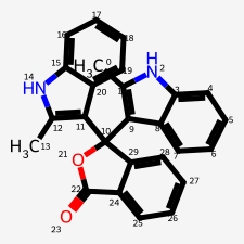 Cc1[nH]c2ccccc2c1C1(c2c(C)[nH]c3ccccc23)OC(=O)c2ccccc21